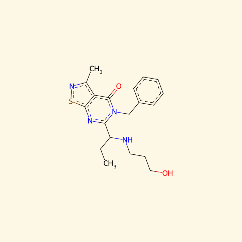 CCC(NCCCO)c1nc2snc(C)c2c(=O)n1Cc1ccccc1